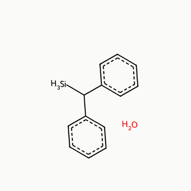 O.[SiH3]C(c1ccccc1)c1ccccc1